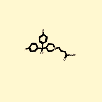 CNC(=O)CCCN1CCC(C(O)(c2ccc(F)cc2)c2ccc(F)cc2)CC1